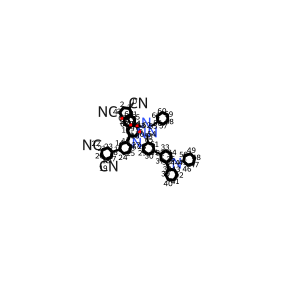 N#Cc1cc(C#N)cc(-c2ccc3c(c2)c2cc(-c4cc(C#N)cc(C#N)c4)ccc2n3-c2ccc(-c3ccc4c(c3)c3ccccc3n4-c3ccccc3)cc2-c2nc(-c3ccccc3)nc(-c3ccccc3)n2)c1